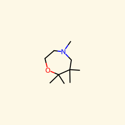 CN1CCOC(C)(C)C(C)(C)C1